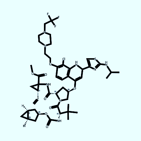 C=C[C@@H]1CC1(NC(=O)[C@@H]1C[C@@H](OC2=CC(c3csc(NC(C)C)n3)Nc3c2ccc(OCCN2CCN(CC(F)(F)F)CC2)c3Cl)CN1C(=O)[C@@H](NC(=O)O[C@@H]1C[C@@H]2C[C@@H]2C1)C(C)(C)C)C(=O)OC